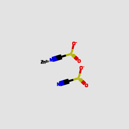 N#CS(=O)[O-].N#CS(=O)[O-].[Zn+2]